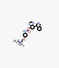 CN(C)CCOc1ccc(NC(=O)Oc2ccc(-c3cncc4ccccc34)c3nccnc23)cc1